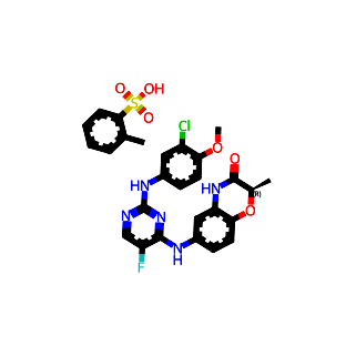 COc1ccc(Nc2ncc(F)c(Nc3ccc4c(c3)NC(=O)[C@@H](C)O4)n2)cc1Cl.Cc1ccccc1S(=O)(=O)O